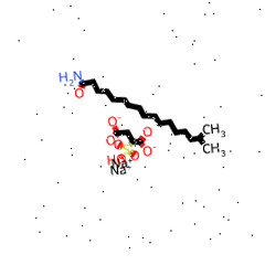 CC(C)CCCCCCCCCCCCCCC(N)=O.O=C([O-])CC(C(=O)[O-])S(=O)(=O)O.[Na+].[Na+]